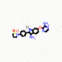 CCn1c(-c2ccc(N3CCCS3(=O)=O)cc2)c(N)c2ccc(Oc3nccnc3N)cc21